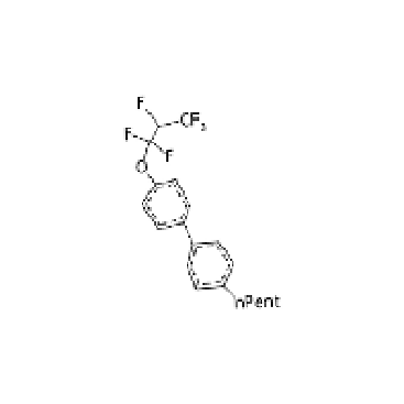 CCCCCc1ccc(-c2ccc(OC(F)(F)C(F)C(F)(F)F)cc2)cc1